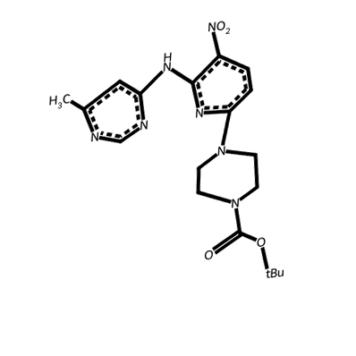 Cc1cc(Nc2nc(N3CCN(C(=O)OC(C)(C)C)CC3)ccc2[N+](=O)[O-])ncn1